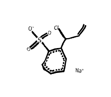 C=CC(Cl)c1ccccc1S(=O)(=O)[O-].[Na+]